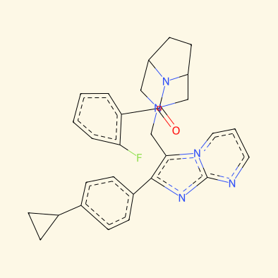 O=C(c1ccccc1F)N1C2CCC1CN(Cc1c(-c3ccc(C4CC4)cc3)nc3ncccn13)C2